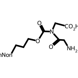 CCCCCCCCCCCCOC(=O)N(CC(=O)O)C(=O)CN